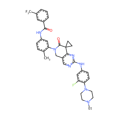 CCN1CCN(c2ccc(Nc3ncc4c(n3)C3(CC3)C(=O)N(c3cc(NC(=O)c5cccc(C(F)(F)F)c5)ccc3C)C4)cc2F)CC1